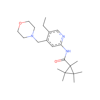 CCc1cnc(NC(=O)C2(C)C(C)(C)C2(C)C)cc1CN1CCOCC1